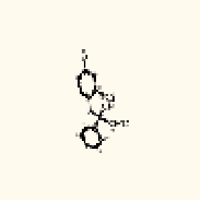 O=CC(Cl)(Cc1ccc(Cl)cc1Cl)c1ccccc1